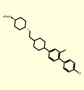 CCCCC[C@H]1CC[C@H](CCC2CCC(c3ccc(-c4ccc(Cl)cc4)c(F)c3)CC2)CC1